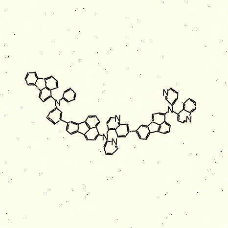 c1ccc(N(c2cccc(-c3ccc4c(c3)-c3cccc5c(N(c6ccccn6)c6ccnc7cc(-c8ccc9c(c8)-c8ccc(N(c%10cccnc%10)c%10ccnc%11ccccc%10%11)c%10cccc-9c8%10)ccc67)ccc-4c35)c2)c2ccc3c4c(cccc24)-c2ccccc2-3)cc1